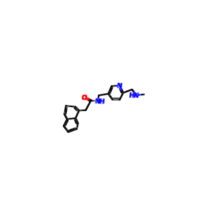 CNCc1ccc(CNC(=O)Cc2cccc3ccccc23)cn1